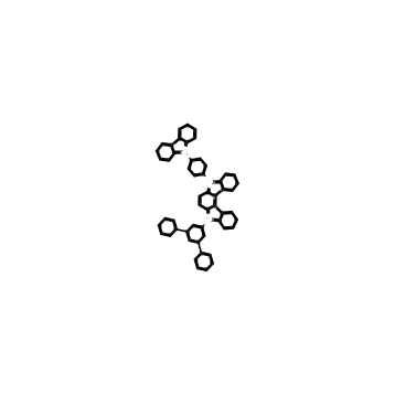 c1ccc(-c2cc(-c3ccccc3)cc(-n3c4ccccc4c4c5c6ccccc6n(-c6ccc(-n7c8ccccc8c8ccccc87)cc6)c5ccc43)c2)cc1